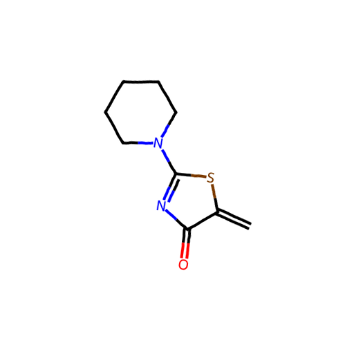 C=C1SC(N2CCCCC2)=NC1=O